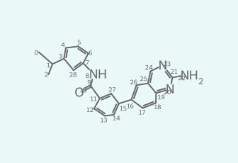 CC(C)c1cccc(NC(=O)c2cccc(-c3ccc4nc(N)ncc4c3)c2)c1